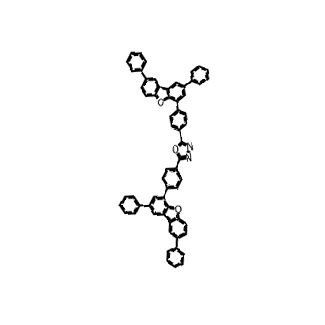 c1ccc(-c2ccc3oc4c(-c5ccc(-c6nnc(-c7ccc(-c8cc(-c9ccccc9)cc9c8oc8ccc(-c%10ccccc%10)cc89)cc7)o6)cc5)cc(-c5ccccc5)cc4c3c2)cc1